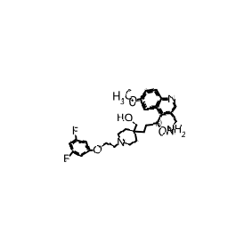 COc1ccc2ncc(CN)c([C@@H](O)CCC3(CO)CCN(CCOc4cc(F)cc(F)c4)CC3)c2c1